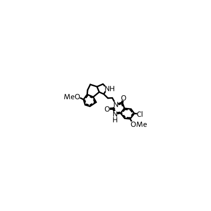 COc1cc2[nH]c(=O)n(CCC3NCC4CCc5c(OC)cccc5C43)c(=O)c2cc1Cl